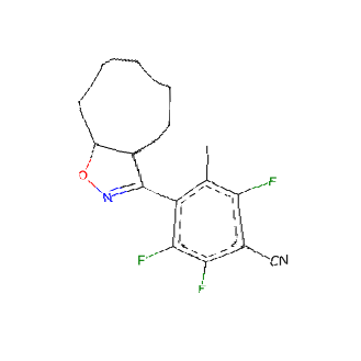 Cc1c(F)c(C#N)c(F)c(F)c1C1=NOC2CCCCCC12